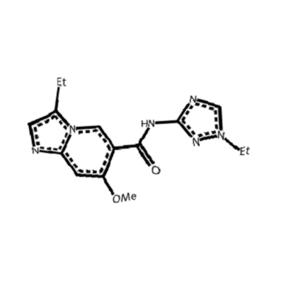 CCc1cnc2cc(OC)c(C(=O)Nc3ncn(CC)n3)cn12